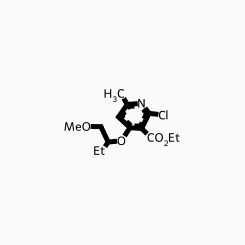 CCOC(=O)c1c(OC(CC)COC)cc(C)nc1Cl